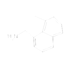 Cc1cccc2cccc(CN)c12